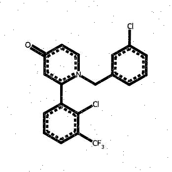 O=c1ccn(Cc2cccc(Cl)c2)c(-c2cccc(C(F)(F)F)c2Cl)c1